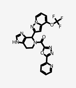 O=C(c1nnc(-c2ccccn2)o1)N1CCc2[nH]cnc2C1c1cc2c(OC(F)(F)F)cccn2n1